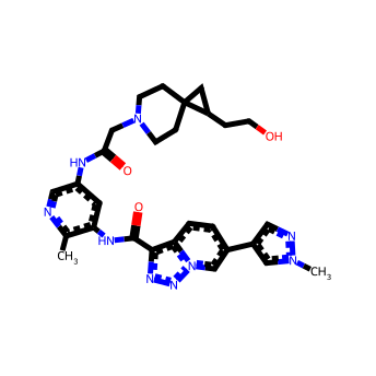 Cc1ncc(NC(=O)CN2CCC3(CC2)CC3CCO)cc1NC(=O)c1nnn2cc(-c3cnn(C)c3)ccc12